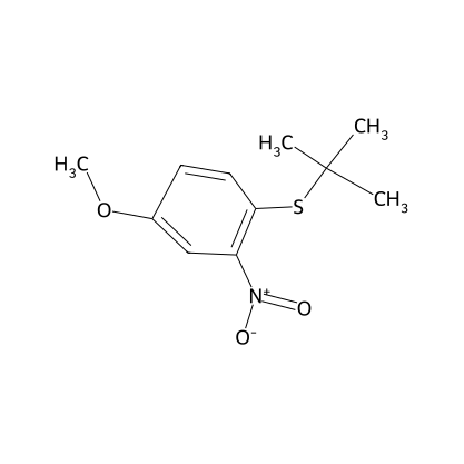 COc1ccc(SC(C)(C)C)c([N+](=O)[O-])c1